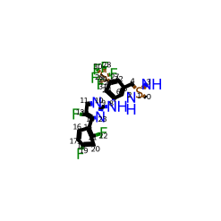 CS(=N)(=N)Cc1cc(Nc2ncc(F)c(-c3ccc(F)cc3F)n2)cc(S(F)(F)(F)(F)F)c1